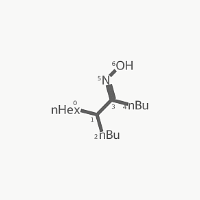 CCCCCCC(CCCC)C(CCCC)=NO